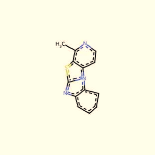 Cc1nccc2c1sc1nc3ccccc3n12